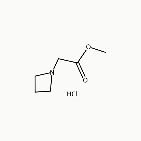 COC(=O)CN1CCC1.Cl